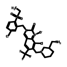 CCS(=O)(=O)c1ccc(Cl)cc1Cn1cc2cc(C(F)(F)F)c(CN3CCCC(CN)C3)c(Cl)c2[n+]([O-])c1=O